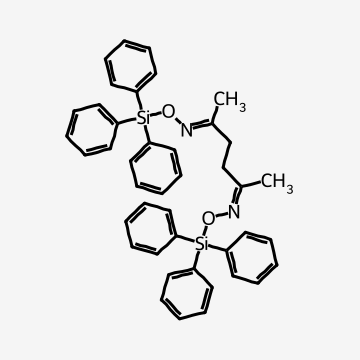 CC(CCC(C)=NO[Si](c1ccccc1)(c1ccccc1)c1ccccc1)=NO[Si](c1ccccc1)(c1ccccc1)c1ccccc1